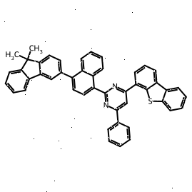 CC1(C)c2ccccc2-c2cc(-c3ccc(-c4nc(-c5ccccc5)cc(-c5cccc6c5sc5ccccc56)n4)c4ccccc34)ccc21